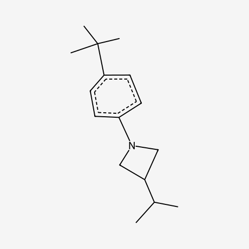 CC(C)C1CN(c2ccc(C(C)(C)C)cc2)C1